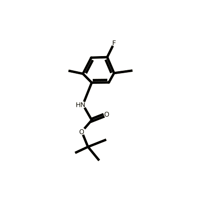 Cc1cc(NC(=O)OC(C)(C)C)c(C)cc1F